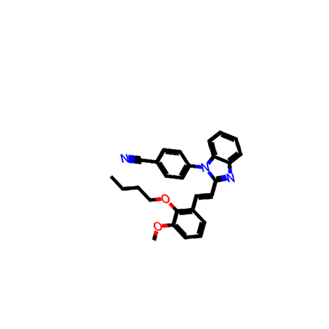 CCCCOc1c(C=Cc2nc3ccccc3n2-c2ccc(C#N)cc2)cccc1OC